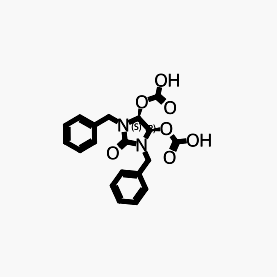 O=C(O)O[C@@H]1[C@H](OC(=O)O)N(Cc2ccccc2)C(=O)N1Cc1ccccc1